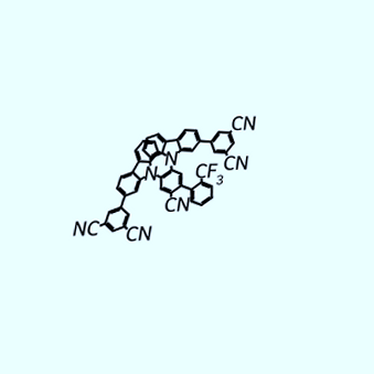 N#Cc1cc(C#N)cc(-c2ccc3c4ccccc4n(-c4cc(C#N)c(-c5ccccc5C(F)(F)F)cc4-n4c5ccccc5c5ccc(-c6cc(C#N)cc(C#N)c6)cc54)c3c2)c1